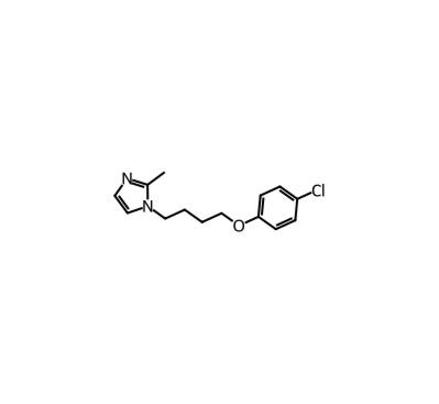 Cc1nccn1CCCCOc1ccc(Cl)cc1